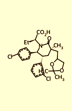 CC[C@@H](C(=O)O)N1C(=O)[C@@](C)(CC2COC(C)(C)O2)C[C@H](c2cccc(Cl)c2)[C@H]1c1ccc(Cl)cc1